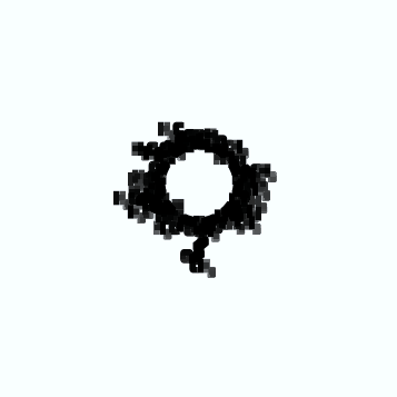 C/C=C/C[C@@H](C)[C@@H](O)[C@H]1C(=O)N[C@@H](CC)C(=O)N(C)[C@H](CSCCCC(C)=O)C(=O)N(C)[C@@H](CC(C)(C)O)C(=O)N[C@@H](C(C)C)C(=O)N(C)[C@@H](CC(C)C)C(=O)N[C@@H](C)C(=O)N[C@H](C)C(=O)N(C)[C@@H](CC(C)C)C(=O)N(C)[C@@H](CC(C)C)C(=O)N(C)[C@@H](C(C)C)C(=O)N1C